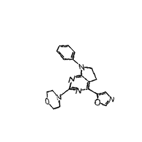 c1ccc(N2CCc3c(-c4cnco4)nc(N4CCOCC4)nc32)cc1